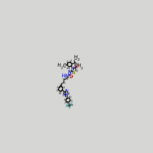 Cc1ccc(C(C)C)c(N2C(=O)CS/C2=N\C(=O)NCCCCc2cccc(-c3ncn(-c4ccc(C(F)(F)F)cc4)n3)c2)c1